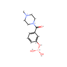 CN1CCN(C(=O)c2cccc(OB(O)O)c2)CC1